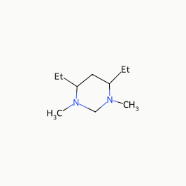 CCC1CC(CC)N(C)CN1C